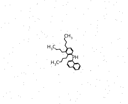 CCCCc1ccc(Pc2cccc3ccccc23)c(CCCC)c1CCCC